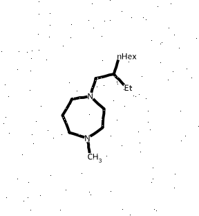 CCCCCCC(CC)CN1CCCN(C)CC1